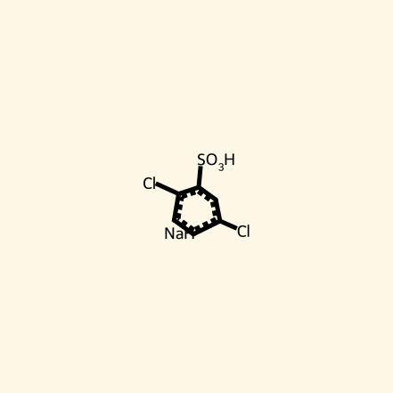 O=S(=O)(O)c1cc(Cl)ccc1Cl.[NaH]